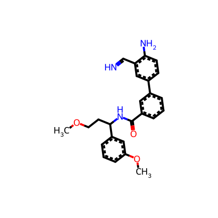 COCCC(NC(=O)c1cccc(-c2ccc(N)c(C=N)c2)c1)c1cccc(OC)c1